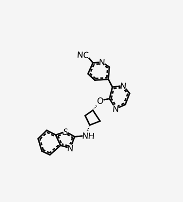 N#Cc1ccc(-c2nccnc2O[C@H]2C[C@@H](Nc3nc4ccccc4s3)C2)cn1